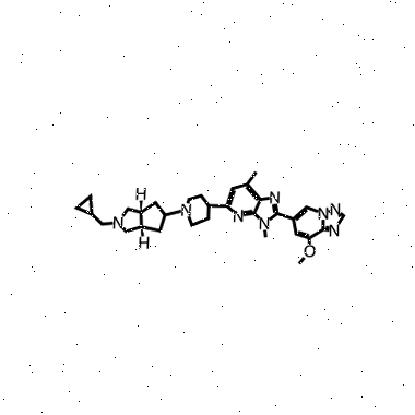 COc1cc(-c2nc3c(C)cc(C4CCN(C5C[C@@H]6CN(CC7CC7)C[C@@H]6C5)CC4)nc3n2C)cn2ncnc12